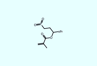 C=C(C)C(=O)OC(CCC)CCP(=O)=O